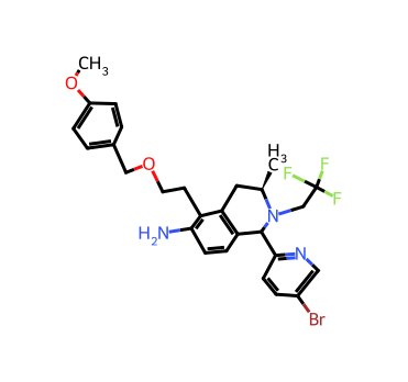 COc1ccc(COCCc2c(N)ccc3c2C[C@@H](C)N(CC(F)(F)F)C3c2ccc(Br)cn2)cc1